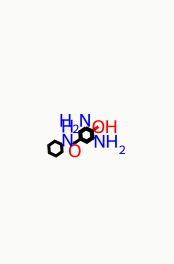 Nc1cc(C(=O)NC2CCCCC2)cc(N)c1O